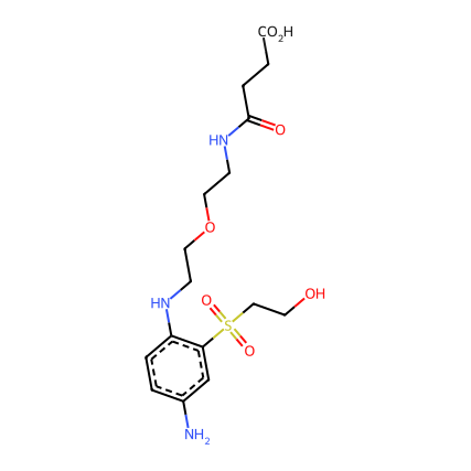 Nc1ccc(NCCOCCNC(=O)CCC(=O)O)c(S(=O)(=O)CCO)c1